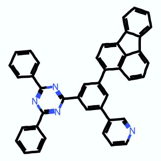 c1ccc(-c2nc(-c3ccccc3)nc(-c3cc(-c4cccnc4)cc(-c4ccc5c6c(cccc46)-c4ccccc4-5)c3)n2)cc1